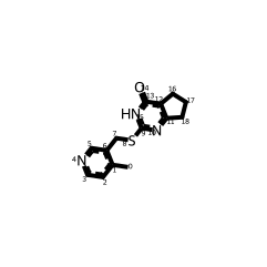 Cc1ccncc1CSc1nc2c(c(=O)[nH]1)CCC2